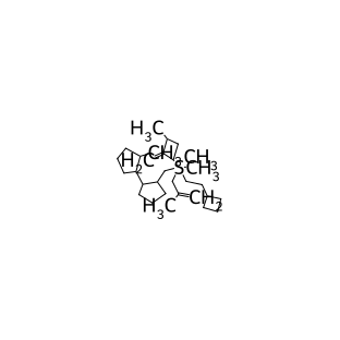 C=C(C)CS(C)(C)(CCC1CCC1)(CC1CCCC1C1CCCC1C)C1CC(C)C1=C